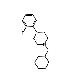 Fc1ccccc1N1CCN(CC2CCCCC2)CC1